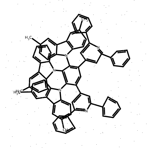 Cc1ccc2c(c1)c1cc(C)ccc1n2-c1c(-c2cc(-c3ccccc3)nc(-c3ccccc3)c2)cc(-c2cc(-c3ccccc3)nc(-c3ccccc3)c2)c(-n2c3ccc(C)cc3c3cc(C)ccc32)c1-n1c2ccccc2c2cc(C)ccc21